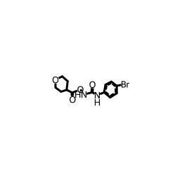 O=C(NOC(=O)C1CCOCC1)Nc1ccc(Br)cc1